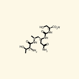 CC(O)[C@H](N)C(=O)NN(C)C[C@H](CC(N)=O)NC(=O)N[C@@H](CO)C(=O)O